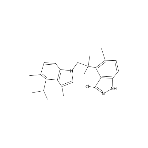 Cc1ccc2[nH]nc(Cl)c2c1C(C)(C)Cn1cc(C)c2c(C(C)C)c(C)ccc21